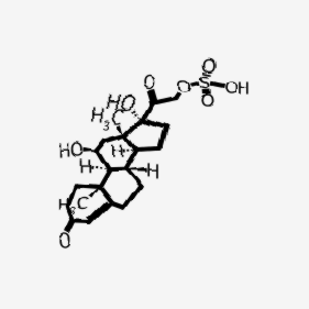 C[C@]12CCC(=O)C=C1CC[C@@H]1[C@@H]2[C@@H](O)C[C@@]2(C)[C@H]1CC[C@]2(O)C(=O)COS(=O)(=O)O